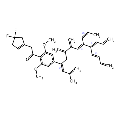 C=C/C=C/C(=C\C=C)C(/C=C\C)=C/C(=C)C(=C)C/C(=C\C(=C)C)c1cc(OC)c(C(=O)CC2=CCC(F)(F)C2)c(OC)c1